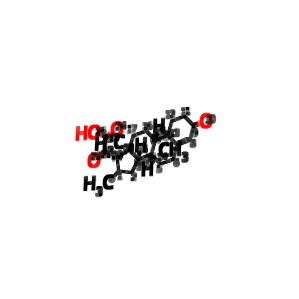 CC1C[C@H]2[C@@H]3CCC4=CC(=O)CC[C@]4(C)[C@H]3CC[C@]2(C)[C@H]1C(=O)C(=O)O